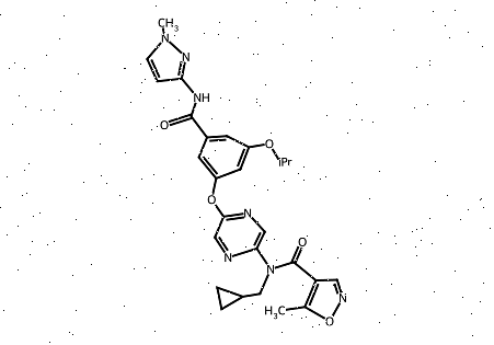 Cc1oncc1C(=O)N(CC1CC1)c1cnc(Oc2cc(OC(C)C)cc(C(=O)Nc3ccn(C)n3)c2)cn1